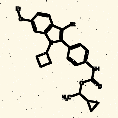 CCOc1ccc2c(CC)c(-c3ccc(NC(=O)OC(C)C4CC4)cc3)n(C3CCC3)c2c1